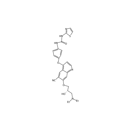 CCN(CC)C[C@H](O)COc1cc2nccc(Oc3ccc(NC(=O)Nc4nccs4)cc3)c2cc1C#N